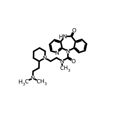 CN(C)CCC1CCCCN1CCN(C)C(=O)N1c2ccccc2C(=O)Nc2cccnc21